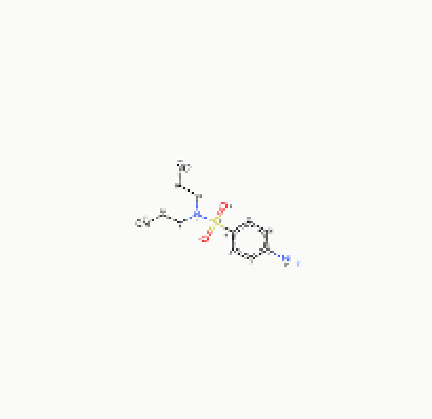 Nc1ccc(S(=O)(=O)N(CCN=O)CCN=O)cc1